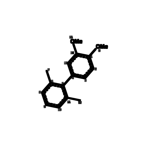 COc1ccc(-c2c(C)cccc2C)cc1OC